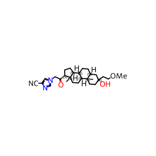 COCC[C@@]1(O)CC[C@@]2(C)[C@@H](CC[C@@H]3[C@@H]2CC[C@]2(C)[C@@H](C(=O)Cn4cnc(C#N)c4)CC[C@@H]32)C1